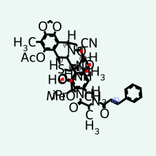 COc1c(C)cc2c(c1O)[C@H]1C3[C@@H]4SC[C@H](NC(=O)C(NC(=O)C(C)NC(=O)/C=C/c5ccccc5)C(C)C)C(=O)OC[C@@H](c5c6c(c(C)c(OC(C)=O)c54)OCO6)N3[C@@H](C#N)[C@@H](C2)N1C